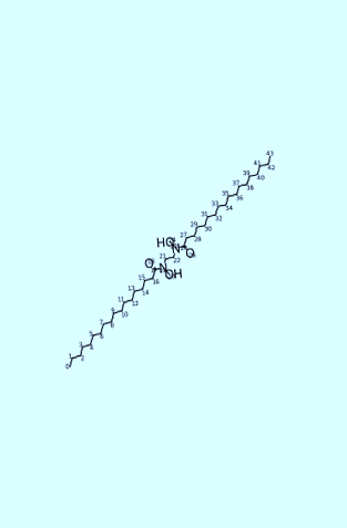 CCCCCCCCCCCCCCCCCC(=O)N(O)CCN(O)C(=O)CCCCCCCCCCCCCCCCC